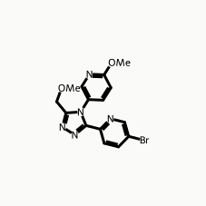 COCc1nnc(-c2ccc(Br)cn2)n1-c1ccc(OC)nc1